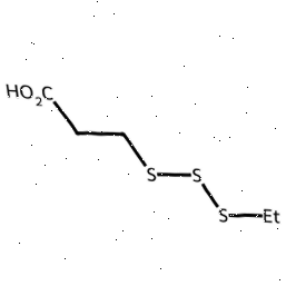 CCSSSCCC(=O)O